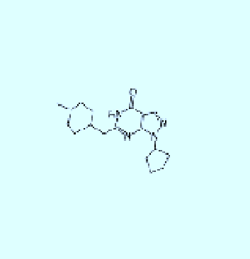 CC1CCC(Cc2nc3c(cnn3C3CCCC3)c(=O)[nH]2)CC1